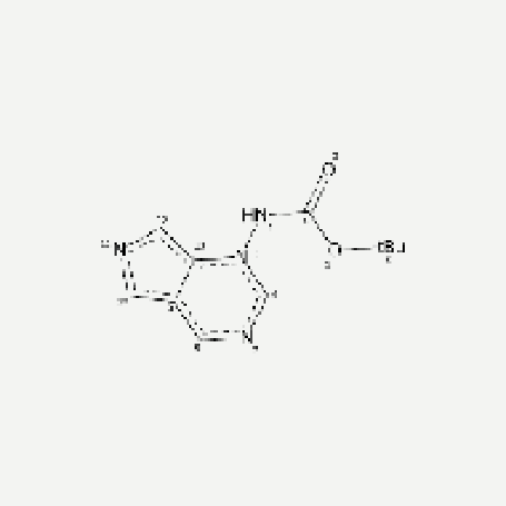 CC(C)(C)OC(=O)Nn1cncc2cncc1-2